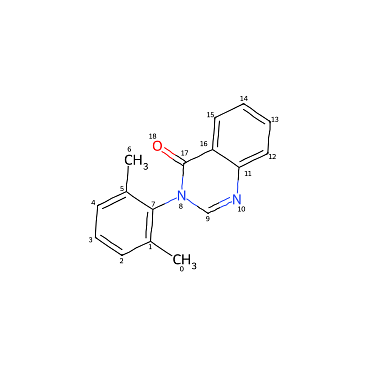 Cc1cccc(C)c1-n1cnc2ccccc2c1=O